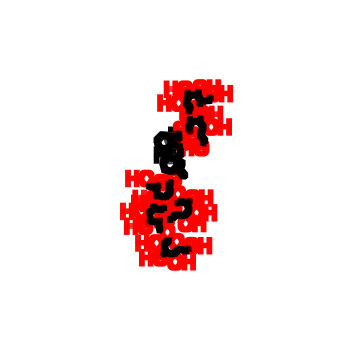 C=C1CC23CCC4[C@](C)(C(=O)OC5OC(CO)C(O)C(O)C5OC5OC(CO)C(O)C(O)C5O)CCC[C@@]4(C)[C@@H]2CCC1(OC1OC(CO)C(O)C(OC2OC(COC4OC(CO)C(O)C(O)C4O)C(O)C(O)C2O)C1OC1OC(CO)C(O)C(O)C1O)C3